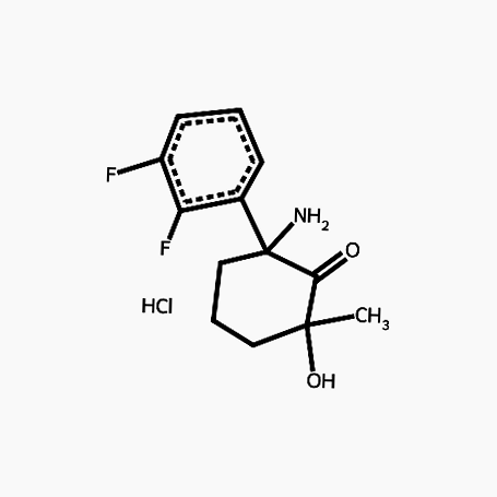 CC1(O)CCCC(N)(c2cccc(F)c2F)C1=O.Cl